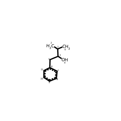 CC(C)C(O)Cc1ccccc1